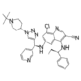 CC[C@@H](Nc1c(C#N)cnc2c(Cl)cc(N[C@@H](c3cccnc3)c3cn(C4CCN(C(C)(C)C)CC4)nn3)cc12)c1ccccc1